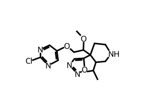 COC(COc1cnc(Cl)nc1)C1(c2cnno2)CCNCC1C(C)C